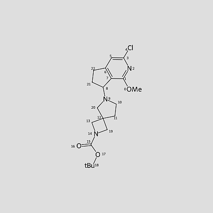 COc1nc(Cl)cc2c1C(N1CCC3(CN(C(=O)OC(C)(C)C)C3)C1)CC2